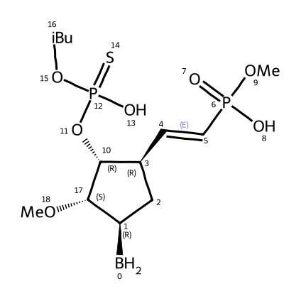 B[C@@H]1C[C@H](/C=C/P(=O)(O)OC)[C@@H](OP(O)(=S)OC(C)CC)[C@H]1OC